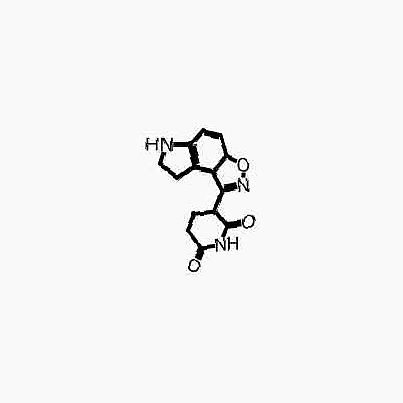 O=C1CCC(C2=NOC3C=CC4=C(CCN4)C23)C(=O)N1